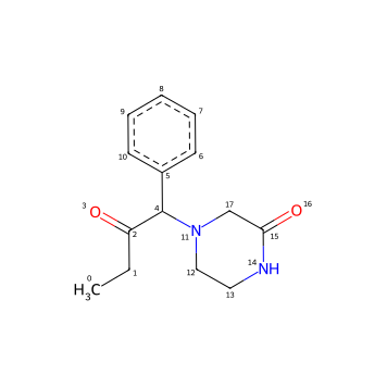 CCC(=O)C(c1ccccc1)N1CCNC(=O)C1